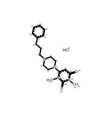 Cl.Cn1c(N2CCN(CCCc3ccccc3)CC2)cc(=O)n(C)c1=O